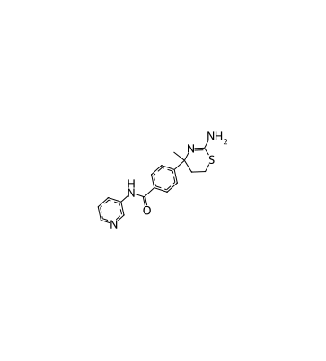 CC1(c2ccc(C(=O)Nc3cccnc3)cc2)CCSC(N)=N1